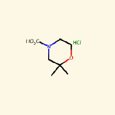 CC1(C)CN(C(=O)O)CCO1.Cl